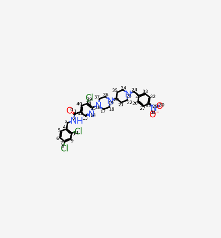 O=C(NCc1ccc(Cl)cc1Cl)c1cnc(N2CCN(C3CCN(Cc4ccc([N+](=O)[O-])cc4)CC3)CC2)c(Cl)c1